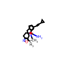 Cc1onc2c1CC1(CC2)Cc2ccc(C#CC3CC3)cc2C12N=C(N)N(C)O2